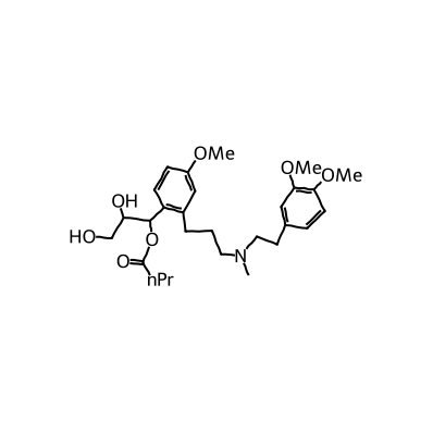 CCCC(=O)OC(c1ccc(OC)cc1CCCN(C)CCc1ccc(OC)c(OC)c1)C(O)CO